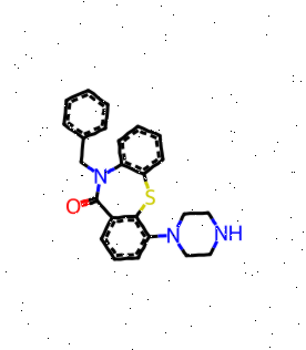 O=C1c2cccc(N3CCNCC3)c2Sc2ccccc2N1Cc1ccccc1